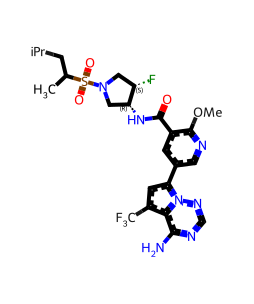 COc1ncc(-c2cc(C(F)(F)F)c3c(N)ncnn23)cc1C(=O)N[C@@H]1CN(S(=O)(=O)C(C)CC(C)C)C[C@@H]1F